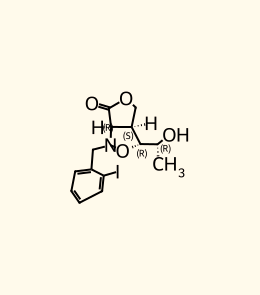 C[C@@H](O)[C@@H]1ON(Cc2ccccc2I)[C@H]2C(=O)OC[C@@H]12